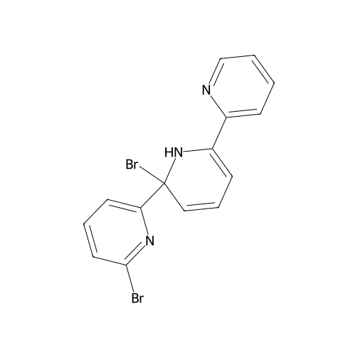 Brc1cccc(C2(Br)C=CC=C(c3ccccn3)N2)n1